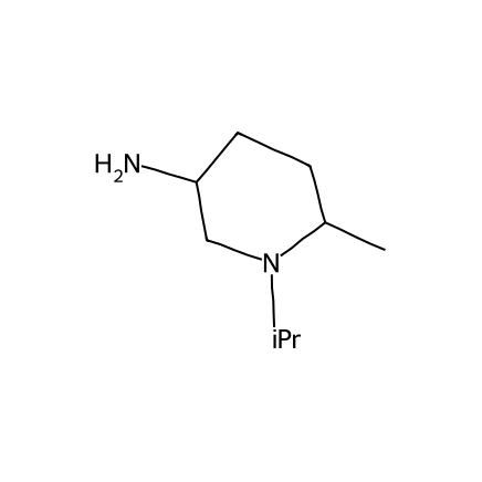 CC(C)N1CC(N)CCC1C